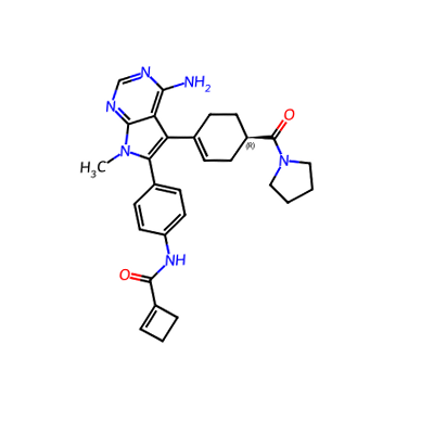 Cn1c(-c2ccc(NC(=O)C3=CCC3)cc2)c(C2=CC[C@H](C(=O)N3CCCC3)CC2)c2c(N)ncnc21